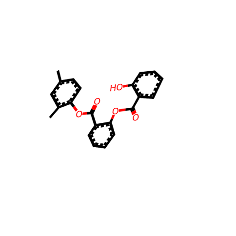 Cc1ccc(OC(=O)c2ccccc2OC(=O)c2ccccc2O)c(C)c1